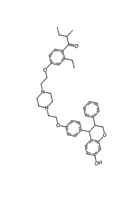 CCc1cc(OCCN2CCN(CCOc3ccc(C4c5ccc(O)cc5OCC4c4ccccc4)cc3)CC2)ccc1C(=O)C(C)CC